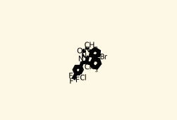 CN(C(=O)N1CC(C)(c2ccccc2)C(c2ccc(C(F)(F)F)c(Cl)c2)=N1)c1ccc(Br)cc1